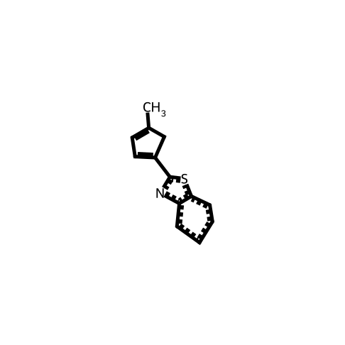 CC1=CC=C(c2nc3ccccc3s2)C1